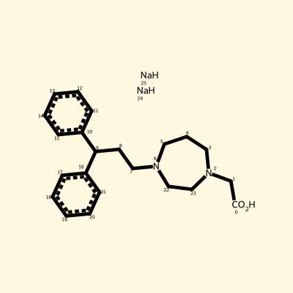 O=C(O)CN1CCCN(CCC(c2ccccc2)c2ccccc2)CC1.[NaH].[NaH]